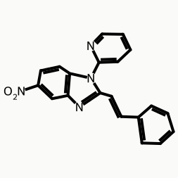 O=[N+]([O-])c1ccc2c(c1)nc(C=Cc1ccccc1)n2-c1ccccn1